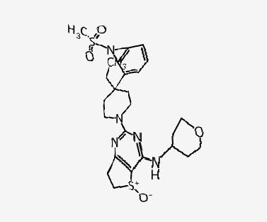 CCC1(c2cccc3c2N3S(C)(=O)=O)CCN(c2nc3c(c(NC4CCOCC4)n2)[S+]([O-])CC3)CC1